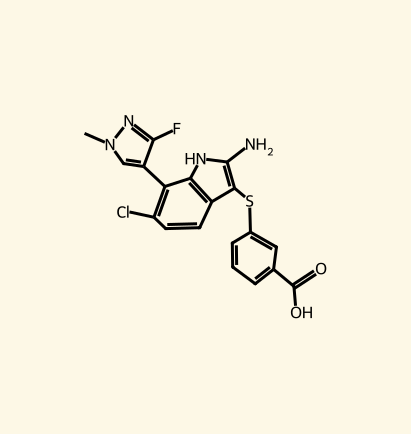 Cn1cc(-c2c(Cl)ccc3c(Sc4cccc(C(=O)O)c4)c(N)[nH]c23)c(F)n1